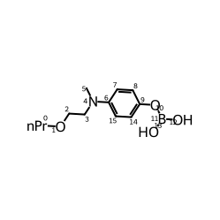 CCCOCCN(C)c1ccc(OB(O)O)cc1